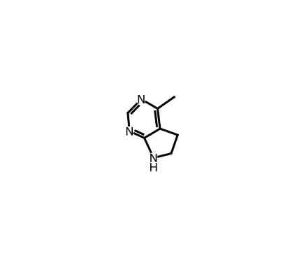 Cc1ncnc2c1CCN2